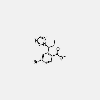 CCC(c1cc(Br)ccc1C(=O)OC)n1cncn1